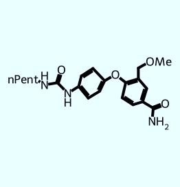 CCCCCNC(=O)Nc1ccc(Oc2ccc(C(N)=O)cc2COC)cc1